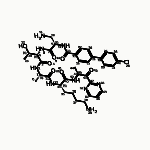 C[C@H](NC(=O)[C@@H](NC(=O)[C@H](CN)NC(=O)c1ccc(-c2ccc(Cl)cc2)cc1)[C@@H](C)O)C(=O)N[C@@H](CCCCN)C(=O)N[C@@H](C)C(=O)c1ncccn1